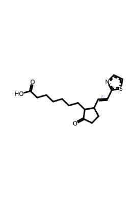 O=C(O)CCCCCCC1C(=O)CCC1/C=C/c1nccs1